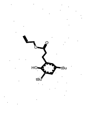 C=CCOC(=O)CCc1cc(C(C)(C)C)cc(C(C)(C)C)c1O